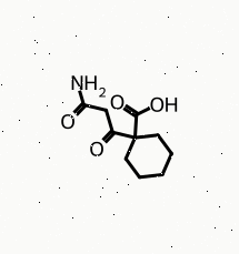 NC(=O)CC(=O)C1(C(=O)O)CCCCC1